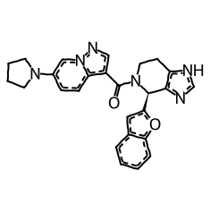 O=C(c1cnn2cc(N3CCCC3)ccc12)N1CCc2[nH]cnc2[C@H]1c1cc2ccccc2o1